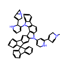 CN1C=CC(C2=CC(n3c4cc5c(cc4c4c3ccc3c6ccccc6n(C6=CC=CNC6C6=CC7CN7C6)c34)-c3ccccc3C53c4ccccc4-c4ccccc43)=CCN2)=CC1